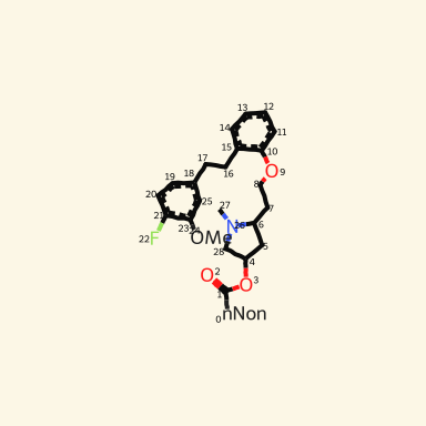 CCCCCCCCCC(=O)OC1CC(CCOc2ccccc2CCc2ccc(F)c(OC)c2)N(C)C1